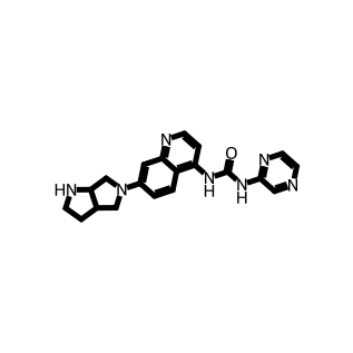 O=C(Nc1cnccn1)Nc1ccnc2cc(N3CC4CCNC4C3)ccc12